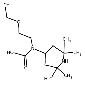 CCOCCN(C(=O)O)C1CC(C)(C)NC(C)(C)C1